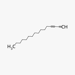 C#CC#CCCCCCCCCCCCC